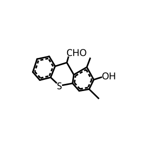 Cc1cc2c(c(C)c1O)C(C=O)c1ccccc1S2